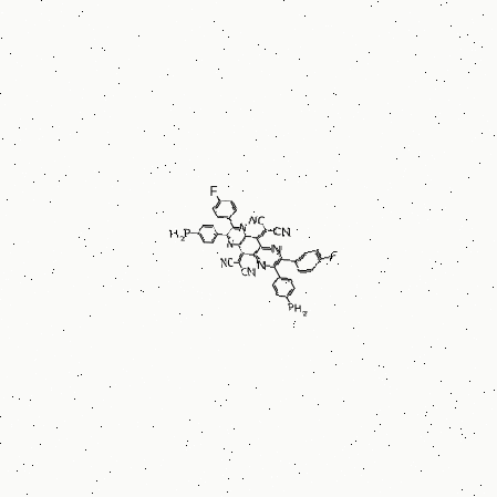 N#CC(C#N)=c1c2nc(-c3ccc(F)cc3)c(-c3ccc(P)cc3)nc2c(=C(C#N)C#N)c2nc(-c3ccc(P)cc3)c(-c3ccc(F)cc3)nc12